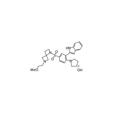 COCCN1CC2(CCN2S(=O)(=O)c2ccc(N3CC[C@H](O)C3)c(-c3cc4ccccc4[nH]3)c2)C1